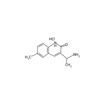 Cc1ccc2[nH]c(=O)c(C(C)N)cc2c1.Cl